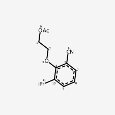 CC(=O)OCCOc1c(C#N)cccc1C(C)C